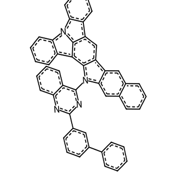 c1ccc(-c2cccc(-c3nc(-n4c5cc6ccccc6cc5c5cc6c7ccccc7n7c8ccccc8c(c54)c67)c4ccccc4n3)c2)cc1